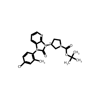 Cc1cc(Cl)ccc1-n1c(=O)n([C@H]2CCN(C(=O)OC(C)(C)C)C2)c2ncccc21